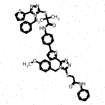 COc1ccc(Cn2c(SCC(=O)Nc3ccccc3)nnc2-c2ccc(-c3ccc(NC(=O)C(C)(C)Sc4nnc(-c5cccs5)n4Cc4ccccc4)cc3)s2)cc1